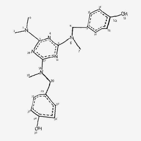 CN(C)c1nc(N(C)Cc2ccc(O)cc2)nc(N(C)Cc2ccc(O)cc2)n1